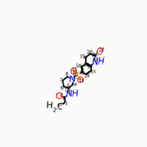 C=CC(=O)N[C@H]1CCCN(S(=O)(=O)c2ccc3c(c2)CCC(=O)N3)C1